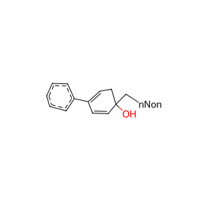 CCCCCCCCCCC1(O)C=CC(c2ccccc2)=CC1